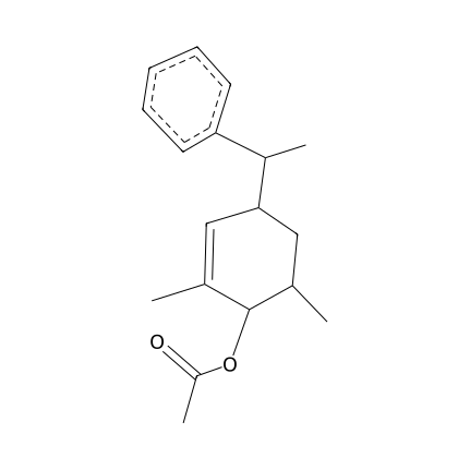 CC(=O)OC1C(C)=CC(C(C)c2ccccc2)CC1C